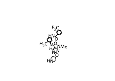 CNc1nc(OC2CCNCC2)ncc1C(=O)Nc1cc(NC(=O)c2cccc(C(F)(F)F)c2)ccc1C